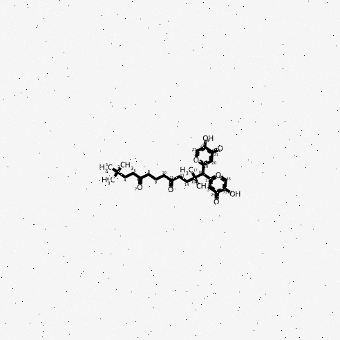 CC(C)(C)CCC(=O)CCCC(=O)CCC(C)(C)C(c1cc(=O)c(O)co1)c1cc(=O)c(O)co1